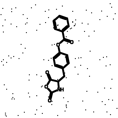 O=C1NC(Cc2ccc(OC(=O)c3ccccc3)cc2)C(=O)O1